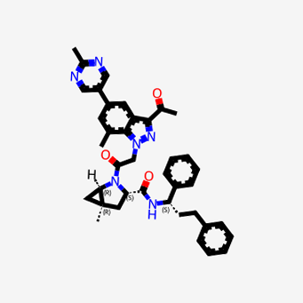 CC(=O)c1nn(CC(=O)N2[C@H](C(=O)N[C@@H](CCc3ccccc3)c3ccccc3)C[C@@]3(C)C[C@@H]23)c2c(C)cc(-c3cnc(C)nc3)cc12